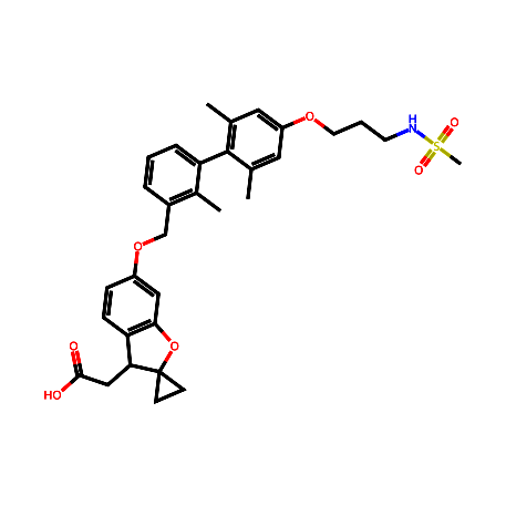 Cc1cc(OCCCNS(C)(=O)=O)cc(C)c1-c1cccc(COc2ccc3c(c2)OC2(CC2)C3CC(=O)O)c1C